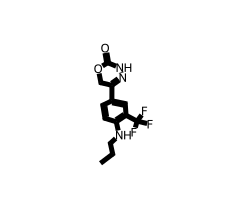 CCCNc1ccc(C2=NNC(=O)OC2)cc1C(F)(F)F